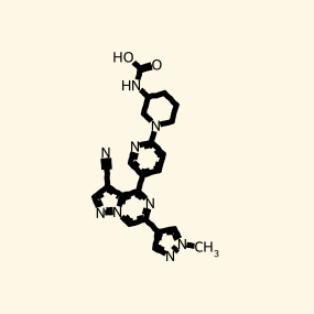 Cn1cc(-c2cn3ncc(C#N)c3c(-c3ccc(N4CCCC(NC(=O)O)C4)nc3)n2)cn1